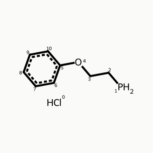 Cl.PCCOc1ccccc1